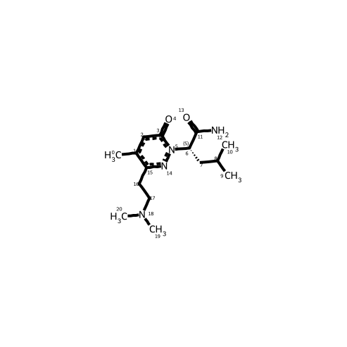 Cc1cc(=O)n([C@@H](CC(C)C)C(N)=O)nc1CCN(C)C